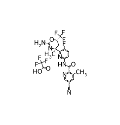 Cc1cc(C#N)cnc1C(=O)Nc1ccc(F)c([C@]2(C)C[C@@H](C(F)(F)F)OC(N)=N2)n1.O=C(O)C(F)(F)F